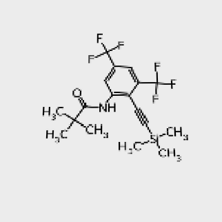 CC(C)(C)C(=O)Nc1cc(C(F)(F)F)cc(C(F)(F)F)c1C#C[Si](C)(C)C